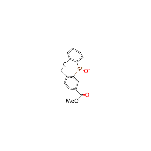 COC(=O)c1ccc2c(c1)[S+]([O-])c1ccccc1CC2